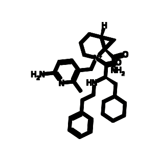 Cc1nc(N)ccc1C[N+]1(C(=O)[C@@H](CC2CCCCC2)NCCc2ccccc2)CCC[C@@H]2C[C@@]21C(N)=O